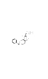 NC(=O)c1n[c]c2c(n1)CN(C(=O)c1ccccc1)CC2